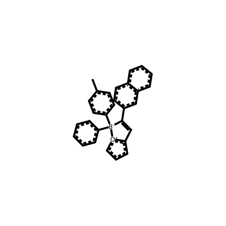 Cc1ccc([B-]2(c3ccccc3)C(c3ccc4ccccc4c3)=Cc3ccc[o+]32)cc1